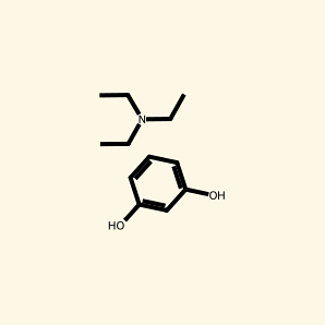 CCN(CC)CC.Oc1cccc(O)c1